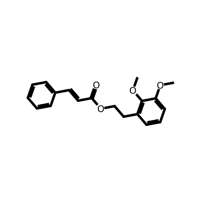 COc1cccc(CCOC(=O)/C=C/c2ccccc2)c1OC